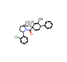 COC1(C(=O)N2[C@@H](c3ccccc3Cl)CC[C@H]2C(=O)O)C=CC(c2ccccc2)C(C#N)=C1